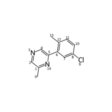 Cc1cncc(-c2cc(Cl)ccc2C)n1